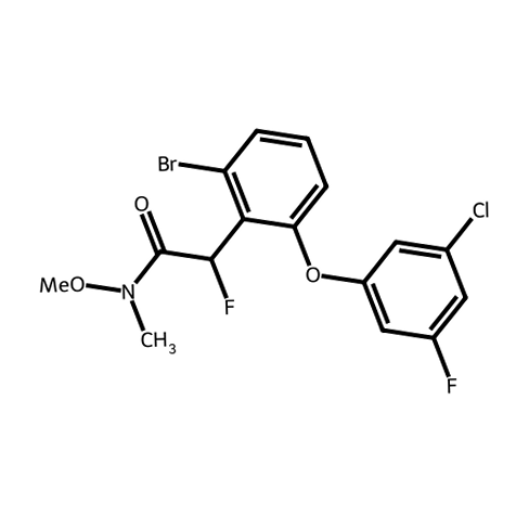 CON(C)C(=O)C(F)c1c(Br)cccc1Oc1cc(F)cc(Cl)c1